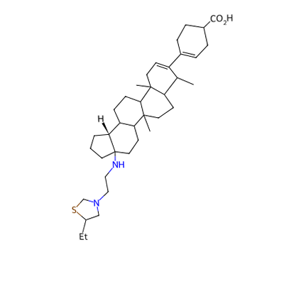 CCC1CN(CCNC23CCC[C@@H]2C2CCC4C5(C)CC=C(C6=CCC(C(=O)O)CC6)C(C)C5CCC4(C)C2CC3)CS1